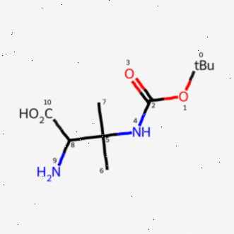 CC(C)(C)OC(=O)NC(C)(C)C(N)C(=O)O